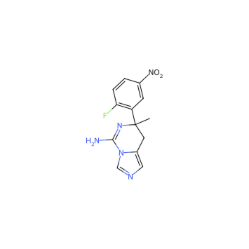 CC1(c2cc([N+](=O)[O-])ccc2F)Cc2cncn2C(N)=N1